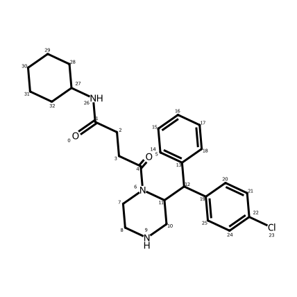 O=C(CCC(=O)N1CCNCC1C(c1ccccc1)c1ccc(Cl)cc1)NC1CCCCC1